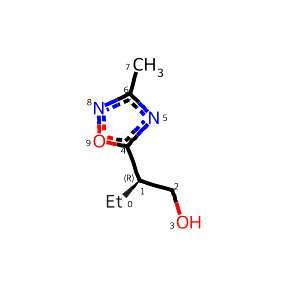 CC[C@H](CO)c1nc(C)no1